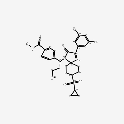 CC(C)OC(=O)c1ccc([C@@H](CCC(C)(C)C)N2C(=O)C(c3cc(Cl)cc(Cl)c3)=NC23CCN(S(=O)(=O)C2CC2)CC3)cc1